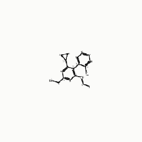 CCOc1cc(CBr)cc(C2CC2)c1-c1ccccc1F